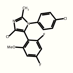 COc1cc(F)cc(F)c1-c1c(Cl)nc(C)n1-c1ccc(Cl)cc1